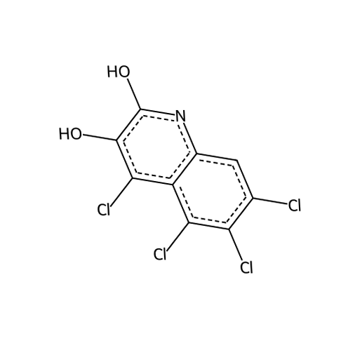 Oc1nc2cc(Cl)c(Cl)c(Cl)c2c(Cl)c1O